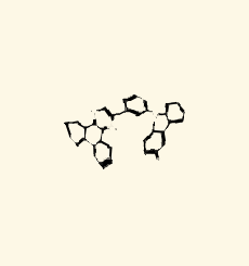 Cc1ccc2c(c1)c1ccccc1n2-c1cccc(-c2cnc3c4ccccc4c4ccccc4c3n2)c1